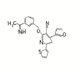 CC(=N)c1cccc(COc2nc(-c3cccs3)cc(-c3ccoc3)c2C#N)c1